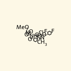 COCCN1OCC(NC(=O)c2ccc(C)c(-n3cnc(OCc4ccc(F)cc4F)c(Cl)c3=O)c2)C1=O